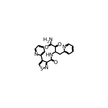 NC(=O)C(=O)C(Cc1ccccn1)NC(=O)c1nscc1-c1ccccn1